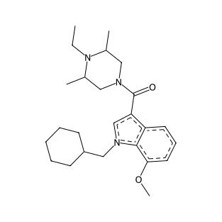 CCN1C(C)CN(C(=O)c2cn(CC3CCCCC3)c3c(OC)cccc23)CC1C